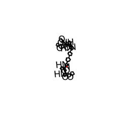 COC(=O)NC(C(=O)N1CCC[C@H]1c1ncc(-c2ccc(-c3ccc(-c4cnc([C@@H]5CCCN5C(=O)C(NC=O)C5CCOC6(CCCC6)C5)[nH]4)cc3)cc2)[nH]1)C1CCOC2(CCCC2)C1